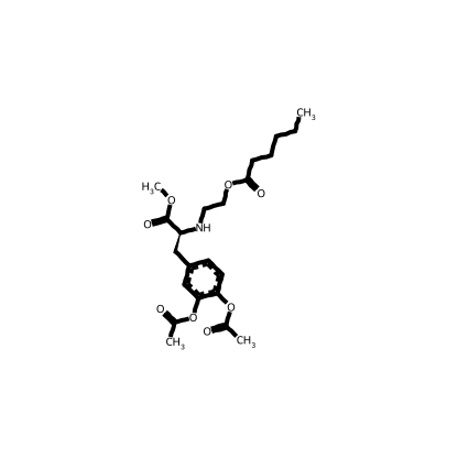 CCCCCC(=O)OCCN[C@@H](Cc1ccc(OC(C)=O)c(OC(C)=O)c1)C(=O)OC